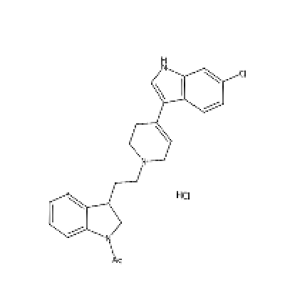 CC(=O)N1CC(CCN2CC=C(c3c[nH]c4cc(Cl)ccc34)CC2)c2ccccc21.Cl